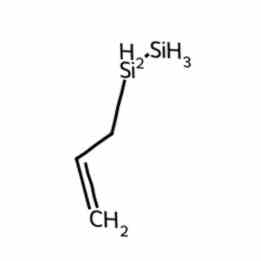 C=CC[SiH2][SiH3]